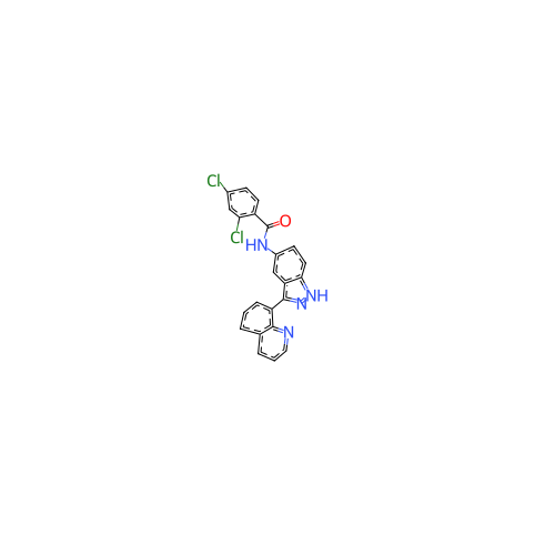 O=C(Nc1ccc2[nH]nc(-c3cccc4cccnc34)c2c1)c1ccc(Cl)cc1Cl